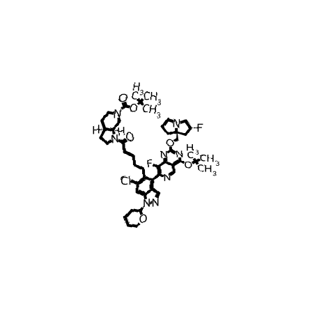 CC(C)(C)OC(=O)N1CC[C@@H]2CCN(C(=O)CCCCc3c(Cl)cc4c(cnn4C4CCCCO4)c3-c3ncc4c(OC(C)(C)C)nc(OC[C@@]56CCCN5C[C@H](F)C6)nc4c3F)[C@@H]2C1